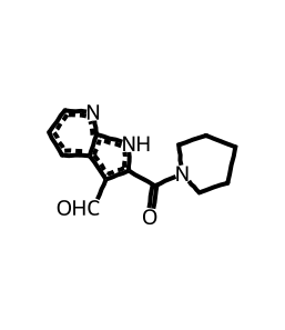 O=Cc1c(C(=O)N2CCCCC2)[nH]c2ncccc12